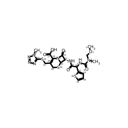 COCN(C)C(=O)NC(C(=O)N[C@H]1C(=O)N2C(C(=O)O)=C(CSc3nnnn3C)CSC12)c1cccs1